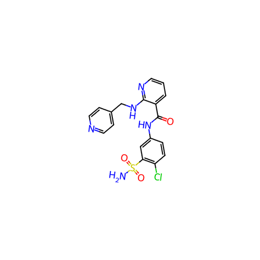 NS(=O)(=O)c1cc(NC(=O)c2cccnc2NCc2ccncc2)ccc1Cl